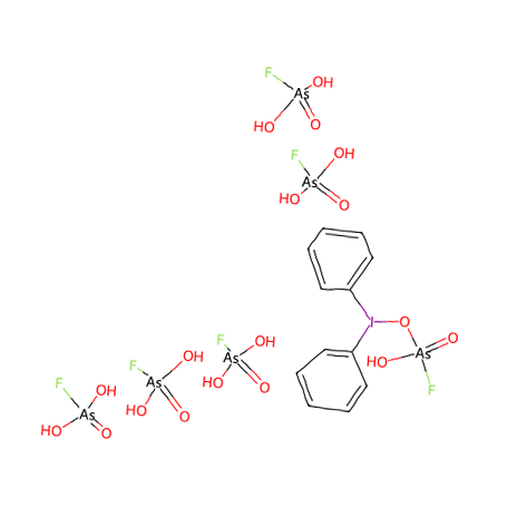 O=[As](O)(F)OI(c1ccccc1)c1ccccc1.O=[As](O)(O)F.O=[As](O)(O)F.O=[As](O)(O)F.O=[As](O)(O)F.O=[As](O)(O)F